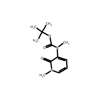 CN(C(=O)OC(C)(C)C)c1cccn(C)c1=O